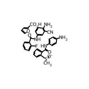 C[S+]([O-])c1ccccc1C(=O)Nc1ccc(N)cc1.N#Cc1cc(NC(=O)c2ccccc2F)ccc1N.O=C(O)c1ccco1